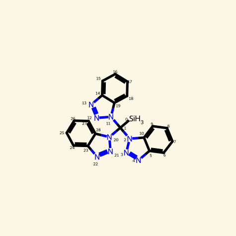 [SiH3]C(n1nnc2ccccc21)(n1nnc2ccccc21)n1nnc2ccccc21